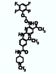 COc1cc(C(=O)NC2CCN(C)CC2)ccc1Nc1ncc(C(C)=O)c(NOCOc2c(F)c(F)cc(F)c2F)n1